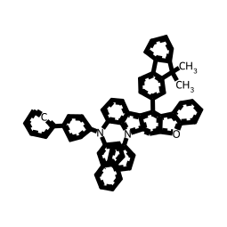 CC1(C)c2ccccc2-c2ccc(-c3c4c(cc5c3c3cccc(N(c6ccc(-c7ccccc7)cc6)c6ccc7ccccc7c6)c3n5-c3ccccc3)oc3ccccc34)cc21